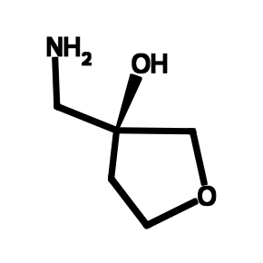 NC[C@@]1(O)CCOC1